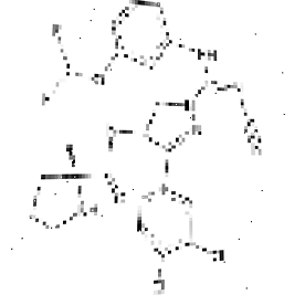 C[C@]1(C(=O)NC2CN(/C(=N\C#N)Nc3cccc(OC(F)F)c3)N=C2c2ccc(Cl)c(Cl)c2)CCCN1